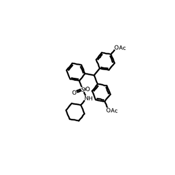 CC(=O)Oc1ccc(C(c2ccc(OC(C)=O)cc2)c2ccccc2S(=O)(=O)NC2CCCCC2)cc1